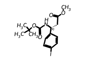 COC(=O)C[C@@H](NC(=O)OC(C)(C)C)c1ccc(I)cc1